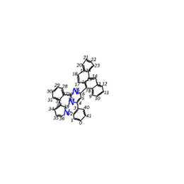 c1ccc(-c2cc(-c3c4ccccc4cc4c3ccc3ccccc34)nc(-c3ccccc3-c3cccnc3)n2)cc1